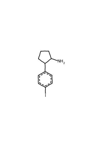 NC1CCCC1c1ccc(I)cc1